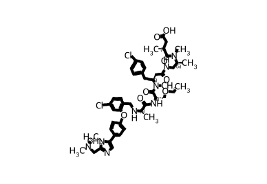 CCOC[C@H](NC(=O)[C@H](C)NCc1ccc(Cl)cc1Oc1ccc(-c2cnc(CN(C)C)n2C)cc1)C(=O)N(C)[C@H](CC(=O)NC[C@H](C)N(C)C(=O)[C@H](C)CC(=O)O)Cc1ccc(Cl)cc1